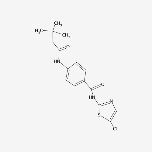 CC(C)(C)CC(=O)Nc1ccc(C(=O)Nc2ncc(Cl)s2)cc1